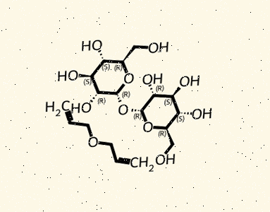 C=CCOCC=C.OC[C@H]1O[C@H](O[C@H]2O[C@H](CO)[C@@H](O)[C@H](O)[C@H]2O)[C@H](O)[C@@H](O)[C@@H]1O